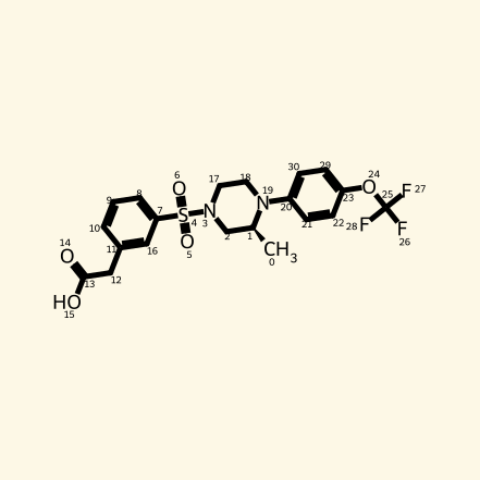 C[C@H]1CN(S(=O)(=O)c2cccc(CC(=O)O)c2)CCN1c1ccc(OC(F)(F)F)cc1